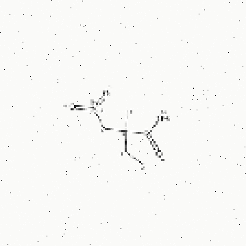 CCC(C)(C[SH](=O)=O)C(=O)O